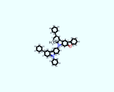 C/C=C(\C=C1\c2cc3c(cc2N(c2ccc4c(c2)c2cc(-c5ccccc5)ccc2n4-c2ccccc2)C1C)oc1ccccc13)c1ccccc1